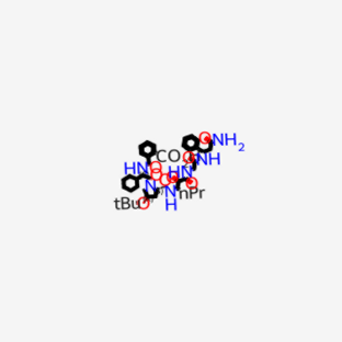 CCCC(NC(=O)[C@@H]1C[C@@H](OC(C)(C)C)CN1C(=O)[C@@H](NC(=O)c1ccccc1C(=O)O)C1CCCCC1)C(=O)C(=O)NCC(=O)NC(CC(N)=O)c1ccccc1